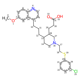 COc1ccc2nccc(CCCC3CCN(CCSc4cccc(Cl)c4)CC3CCC(=O)O)c2c1